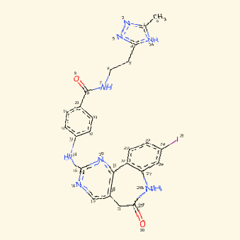 Cc1nnc(CCNC(=O)c2ccc(Nc3ncc4c(n3)-c3ccc(I)cc3NC(=O)C4)cc2)[nH]1